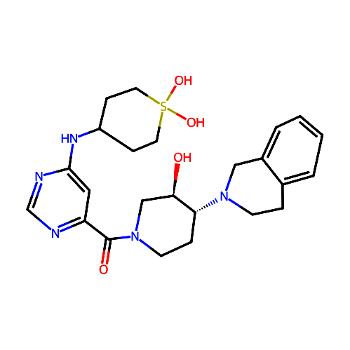 O=C(c1cc(NC2CCS(O)(O)CC2)ncn1)N1CC[C@@H](N2CCc3ccccc3C2)[C@H](O)C1